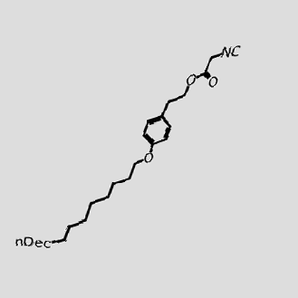 [C-]#[N+]CC(=O)OCCc1ccc(OCCCCCCCCCCCCCCCCCC)cc1